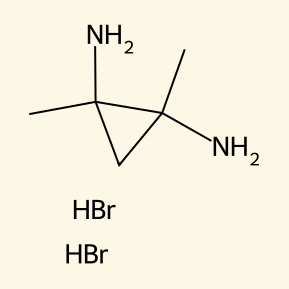 Br.Br.CC1(N)CC1(C)N